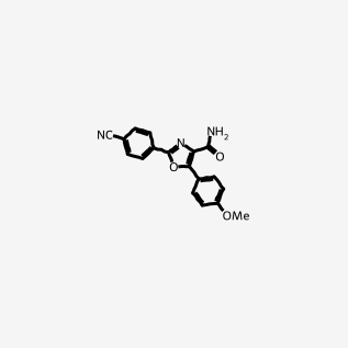 COc1ccc(-c2oc(-c3ccc(C#N)cc3)nc2C(N)=O)cc1